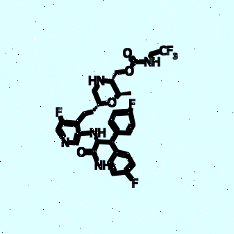 C[C@H]1O[C@H](CCc2c(F)cncc2N[C@H](C(N)=O)C(c2ccc(F)cc2)c2ccc(F)cc2)CN[C@@H]1COC(=O)NCC(F)(F)F